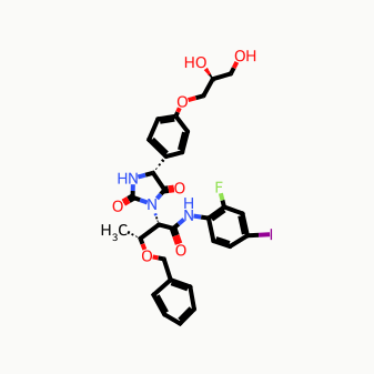 C[C@@H](OCc1ccccc1)[C@@H](C(=O)Nc1ccc(I)cc1F)N1C(=O)N[C@H](c2ccc(OC[C@@H](O)CO)cc2)C1=O